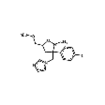 CCCCOCC1CC(Cn2ccnc2)(c2ccc(Cl)cc2)N(C)O1